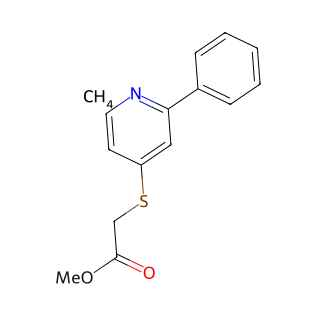 C.COC(=O)CSc1ccnc(-c2ccccc2)c1